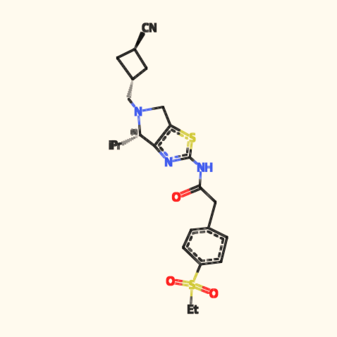 CCS(=O)(=O)c1ccc(CC(=O)Nc2nc3c(s2)CN(C[C@H]2C[C@H](C#N)C2)[C@H]3C(C)C)cc1